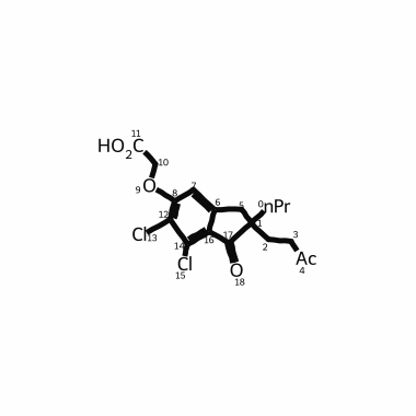 CCCC1(CCC(C)=O)Cc2cc(OCC(=O)O)c(Cl)c(Cl)c2C1=O